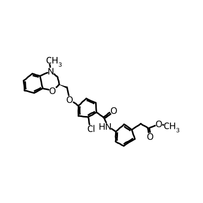 COC(=O)Cc1cccc(NC(=O)c2ccc(OC[C@@H]3CN(C)c4ccccc4O3)cc2Cl)c1